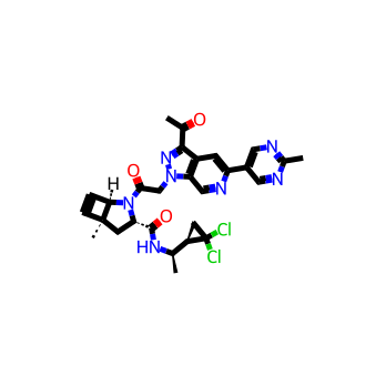 CC(=O)c1nn(CC(=O)N2[C@H](C(=O)N[C@H](C)[C@H]3CC3(Cl)Cl)C[C@@]3(C)C#C[C@@H]23)c2cnc(-c3cnc(C)nc3)cc12